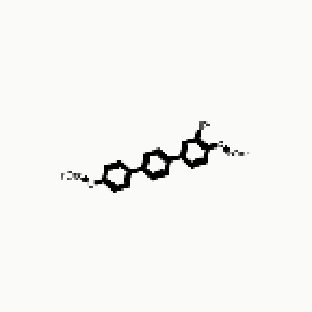 CCCCCCCCCCOc1ccc(-c2ccc(-c3ccc(OCCCCCCCCCC)c(C(C)C)c3)cc2)cc1